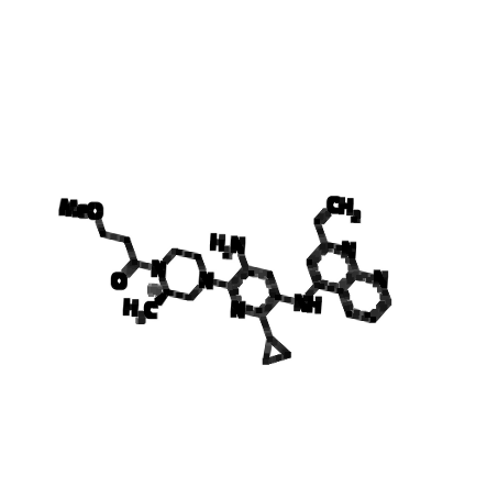 C=Cc1cc(Nc2cc(N)c(N3CCN(C(=O)CCOC)[C@H](C)C3)nc2C2CC2)c2cccnc2n1